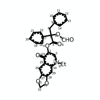 CCn1cc(OC(=O)C(Cc2ccccc2)(OC=O)c2ccccc2)c(=O)c2cc3c(cc21)OCO3